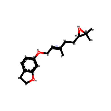 C/C(=C\COc1ccc2c(c1)OCC2)CCC1OC1(C)C